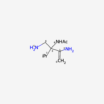 C=C(N)C(CN)(NC(C)=O)C(C)C